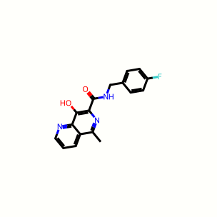 Cc1nc(C(=O)NCc2ccc(F)cc2)c(O)c2ncccc12